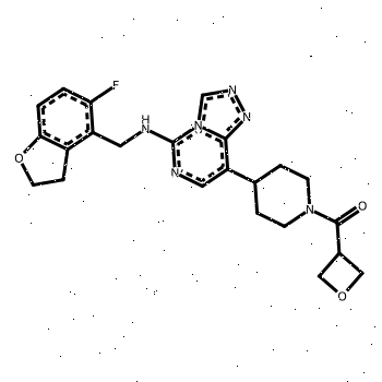 O=C(C1COC1)N1CCC(c2cnc(NCc3c(F)ccc4c3CCO4)n3cnnc23)CC1